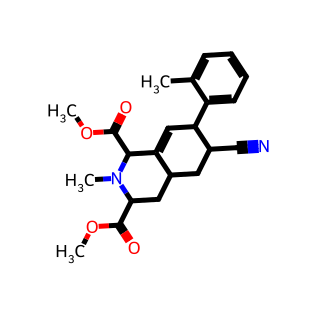 COC(=O)C1CC2CC(C#N)C(c3ccccc3C)C=C2C(C(=O)OC)N1C